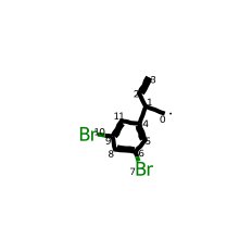 [CH2]C(C=C)c1cc(Br)cc(Br)c1